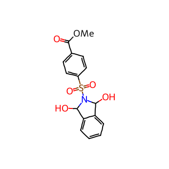 COC(=O)c1ccc(S(=O)(=O)N2C(O)c3ccccc3C2O)cc1